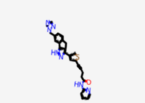 O=C(CCC#Cc1cc(-c2n[nH]c3c2Cc2ccc(Cn4cncn4)cc2-3)cs1)Nc1ccccn1